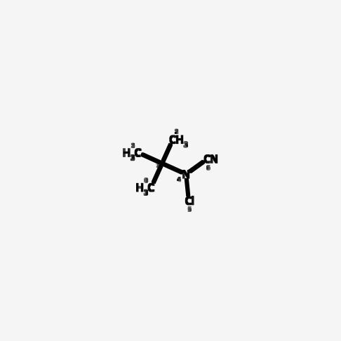 CC(C)(C)N(Cl)C#N